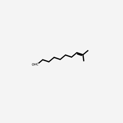 CC(C)=CCCCCCCC=O